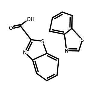 O=C(O)c1nc2ccccc2s1.c1ccc2scnc2c1